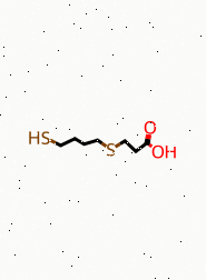 O=C(O)CCSCCCCS